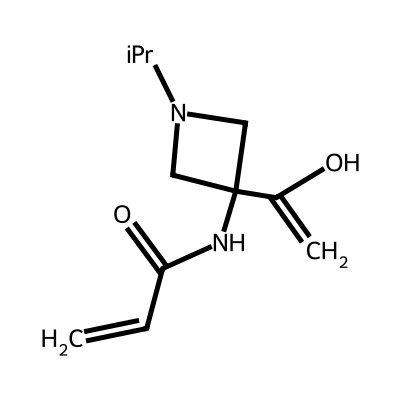 C=CC(=O)NC1(C(=C)O)CN(C(C)C)C1